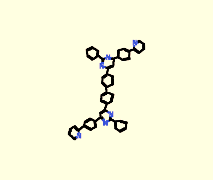 c1ccc(-c2nc(-c3ccc(-c4ccc(-c5cc(-c6ccc(-c7ccccn7)cc6)nc(-c6ccccc6)n5)cc4)cc3)cc(-c3ccc(-c4ccccn4)cc3)n2)cc1